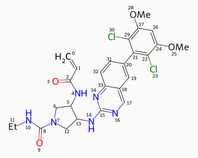 C=CC(=O)NC1CN(C(=O)NCC)CC1Nc1ncc2cc(-c3c(Cl)c(OC)cc(OC)c3Cl)ccc2n1